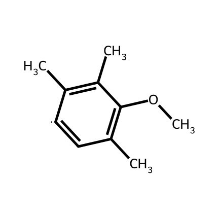 COc1c(C)c[c]c(C)c1C